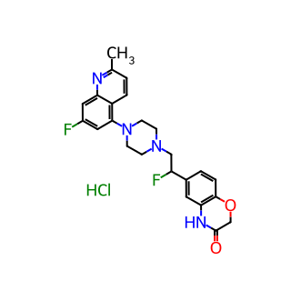 Cc1ccc2c(N3CCN(CC(F)c4ccc5c(c4)NC(=O)CO5)CC3)cc(F)cc2n1.Cl